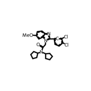 COc1ccc2nc(-c3ccc(Cl)c(Cl)c3)n(CC(=O)N(C3CCCC3)C3CCCC3)c2c1